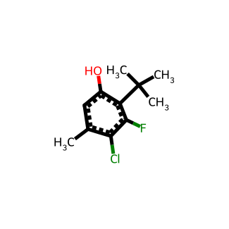 Cc1cc(O)c(C(C)(C)C)c(F)c1Cl